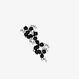 Cc1ccc(N(c2cccc(C)c2)c2ccc3c(ccc4oc5ccc6cc(N(c7ccc(C)cc7)c7ccc(-c8ccc(N(c9cccc(C)c9)c9ccc%10c(ccc%11oc%12ccc%13cc(N(c%14cccc(C)c%14)c%14ccccc%14C)ccc%13c%12c%11%10)c9)c(C)c8)c(C)c7)ccc6c5c43)c2)cc1